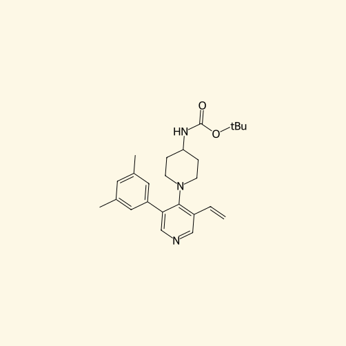 C=Cc1cncc(-c2cc(C)cc(C)c2)c1N1CCC(NC(=O)OC(C)(C)C)CC1